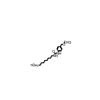 CCCCCCCCCCCCCCCCCCNC(=O)Nc1ccc(COC=O)cc1